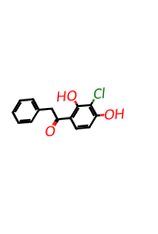 O=C(Cc1ccccc1)c1ccc(O)c(Cl)c1O